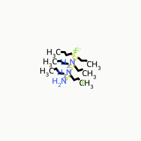 CCCC[S+](N)CCCC.CCCC[S+](N)CCCC.CCCC[S+](N)CCCC.[F-].[F-].[F-]